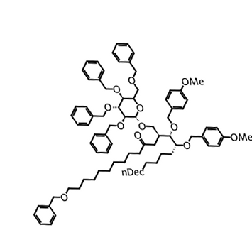 CCCCCCCCCCCCCC[C@@H](OCc1ccc(OC)cc1)[C@@H](OCc1ccc(OC)cc1)[C@H](CO[C@H]1OC(COCc2ccccc2)[C@H](OCc2ccccc2)[C@@H](OCc2ccccc2)[C@@H]1OCc1ccccc1)CC(=O)CCCCCCCCCCOCc1ccccc1